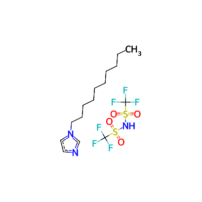 CCCCCCCCCCn1ccnc1.O=S(=O)(NS(=O)(=O)C(F)(F)F)C(F)(F)F